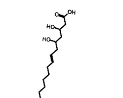 CCCCCCC=CCC(O)CC(O)CC(=O)O